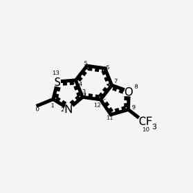 Cc1nc2c(ccc3oc(C(F)(F)F)cc32)s1